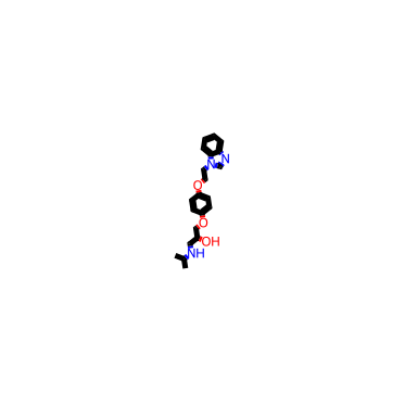 CC(C)NCC(O)COc1ccc(OCCn2cnc3ccccc32)cc1